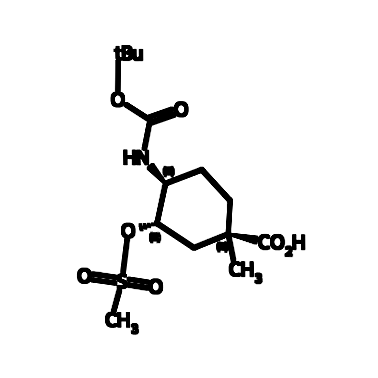 CC(C)(C)OC(=O)N[C@H]1CC[C@@](C)(C(=O)O)C[C@@H]1OS(C)(=O)=O